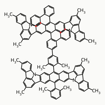 Cc1ccc2c(c1)c1cc(C)cc3c4cc5c(-c6ccc(-c7cc(C)c(-c8c9cc%10c%11cc(C)cc%12c%13cc(C)ccc%13n(c%10cc9c(-c9c(C)cccc9C)c9cc%10c%13cc(C)cc%14c%15cc(C)ccc%15n(c%10cc89)c%14%13)c%12%11)c(C)c7)cc6-c6ccccc6)c6cc7c(cc6c(-c6ccccc6-c6ccccc6)c5cc4n2c13)c1cc(C)cc2c3cc(C)ccc3n7c21